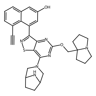 C#Cc1cccc2cc(O)cc(-c3nsc4c(N5CC6CCC(C5)N6)nc(OCC56CCCN5CCC6)nc34)c12